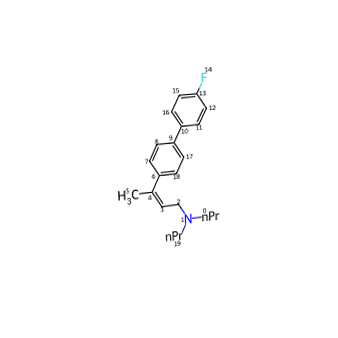 CCCN(C/C=C(/C)c1ccc(-c2ccc(F)cc2)cc1)CCC